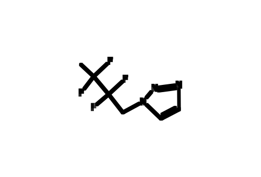 CC(F)(F)C(F)(F)Cn1ccnn1